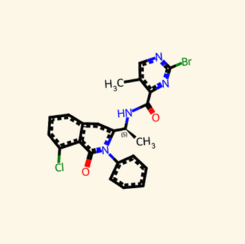 Cc1cnc(Br)nc1C(=O)N[C@@H](C)c1cc2cccc(Cl)c2c(=O)n1-c1ccccc1